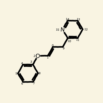 C(=COc1ccccc1)Cc1ccccn1